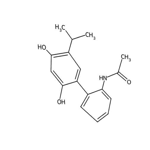 CC(=O)Nc1ccccc1-c1cc(C(C)C)c(O)cc1O